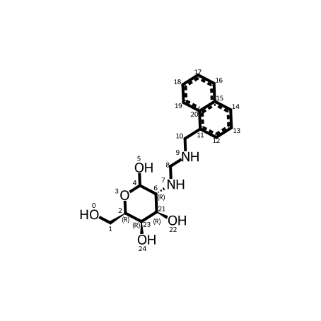 OC[C@H]1OC(O)[C@H](NCNCc2cccc3ccccc23)[C@@H](O)[C@H]1O